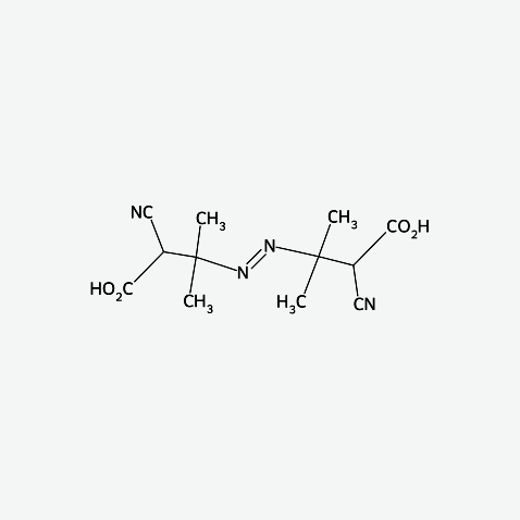 CC(C)(N=NC(C)(C)C(C#N)C(=O)O)C(C#N)C(=O)O